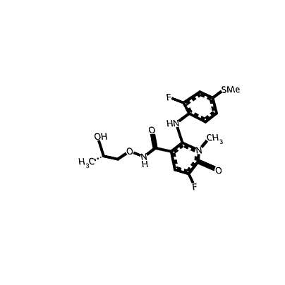 CSc1ccc(Nc2c(C(=O)NOC[C@H](C)O)cc(F)c(=O)n2C)c(F)c1